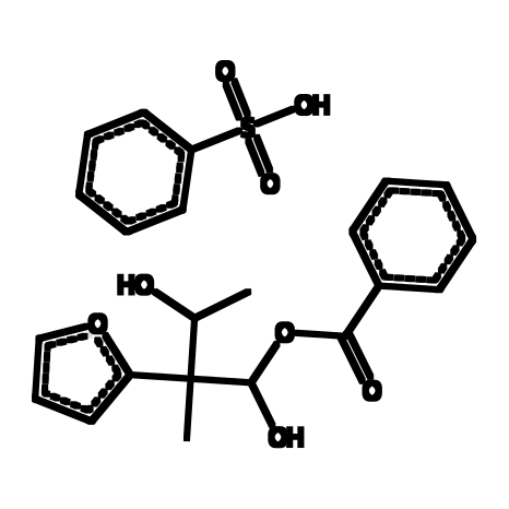 CC(O)C(C)(c1ccco1)C(O)OC(=O)c1ccccc1.O=S(=O)(O)c1ccccc1